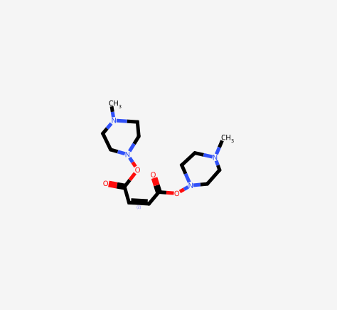 CN1CCN(OC(=O)/C=C\C(=O)ON2CCN(C)CC2)CC1